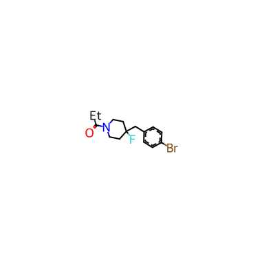 CCC(=O)N1CCC(F)(Cc2ccc(Br)cc2)CC1